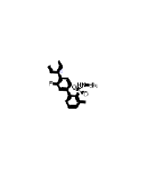 C=C/C(=C\C)c1ccc(-c2cccc(C)c2S(=O)(=O)NC(C)(C)C)cc1F